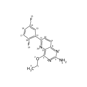 CCOc1nc(N)nc2ccc(-c3cc(F)ccc3F)nc12